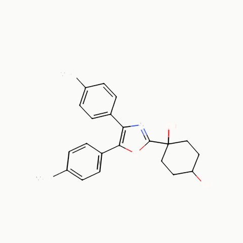 COc1ccc(-c2nc(C3(O)CCC(O)CC3)oc2-c2ccc(OC)cc2)cc1